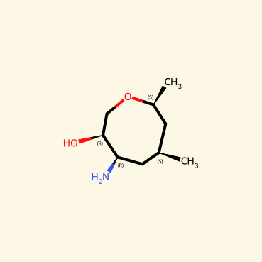 C[C@H]1C[C@@H](N)[C@@H](O)CO[C@@H](C)C1